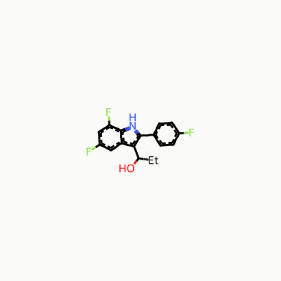 CCC(O)c1c(-c2ccc(F)cc2)[nH]c2c(F)cc(F)cc12